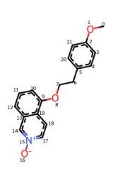 COc1ccc(CCOc2cccc3c[n+]([O-])ccc23)cc1